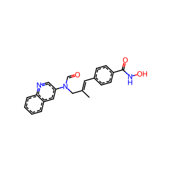 CC(=Cc1ccc(C(=O)NO)cc1)CN(C=O)c1cnc2ccccc2c1